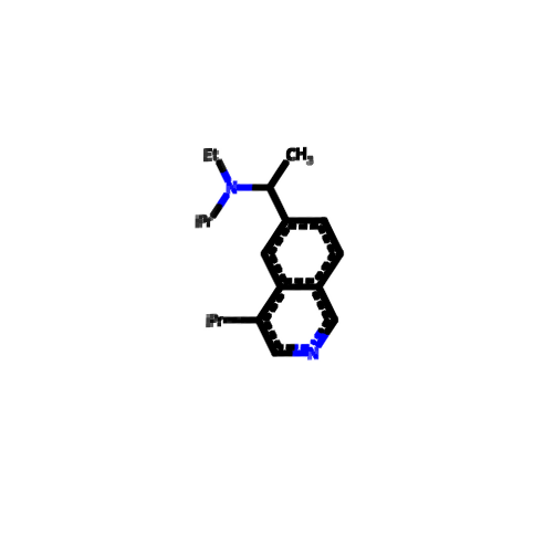 CCN(C(C)C)C(C)c1ccc2cncc(C(C)C)c2c1